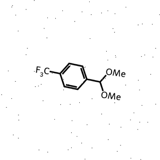 COC(OC)c1ccc(C(F)(F)F)cc1